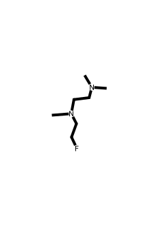 CN(C)CCN(C)CCF